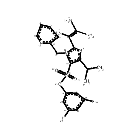 CC(C)c1nc(C(N)=C(N)N)n(Cc2ccccn2)c1S(=O)(=O)Oc1cc(F)cc(F)c1